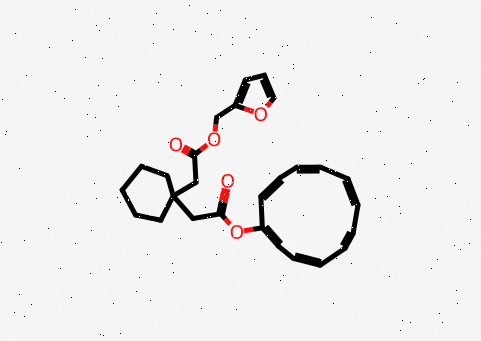 O=C(CC1(CC(=O)OC2=C/C=C\C=C/C=C\C=C/C=C\2)CCCCC1)OCc1ccco1